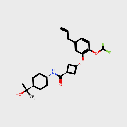 C=CCc1ccc(OC(F)F)c(O[C@H]2C[C@H](C(=O)N[C@H]3CC[C@H](C(C)(O)C(F)(F)F)CC3)C2)c1